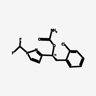 NC(=O)O[C@@H](Cc1ccccc1Cl)c1ccn(C(F)F)n1